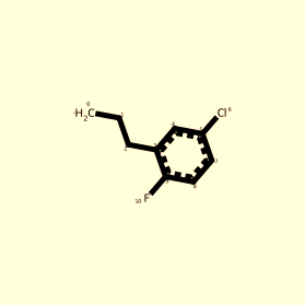 [CH2]CCc1cc(Cl)ccc1F